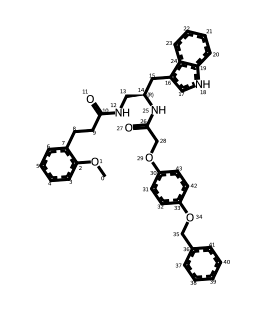 COc1ccccc1CCC(=O)NC[C@@H](Cc1c[nH]c2ccccc12)NC(=O)COc1ccc(OCc2ccccc2)cc1